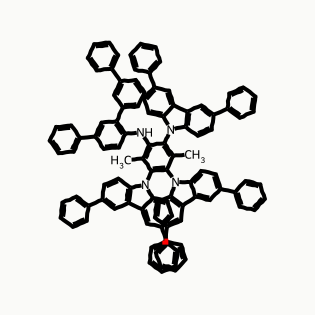 Cc1c(Nc2ccc(-c3ccccc3)cc2-c2cccc(-c3ccccc3)c2)c(-n2c3ccc(-c4ccccc4)cc3c3cc(-c4ccccc4)ccc32)c(C)c(-n2c3ccc(-c4ccccc4)cc3c3cc(-c4ccccc4)ccc32)c1-n1c2ccc(-c3ccccc3)cc2c2cc(-c3ccccc3)ccc21